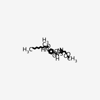 CCCCCCCC(C)C(=O)Nc1ccc(S(=O)(=O)Nc2nnc(CC3OC(C)O3)s2)cc1